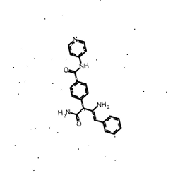 NC(=O)C(C(N)=Cc1ccccc1)c1ccc(C(=O)Nc2ccncc2)cc1